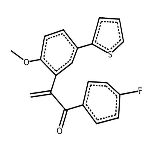 C=C(C(=O)c1ccc(F)cc1)c1cc(-c2cccs2)ccc1OC